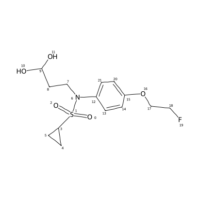 O=S(=O)(C1CC1)N(CCC(O)O)c1ccc(OCCF)cc1